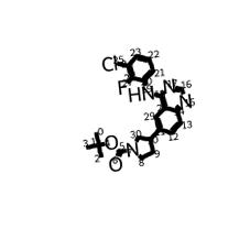 CC(C)(C)OC(=O)N1CCC(c2ccc3ncnc(Nc4cccc(Cl)c4F)c3c2)C1